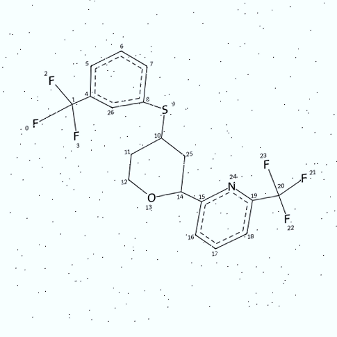 FC(F)(F)c1cccc(SC2CCOC(c3cccc(C(F)(F)F)n3)C2)c1